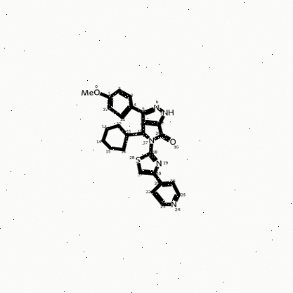 COc1ccc(-c2n[nH]c3c2C(C2CCCCC2)N(c2nc(-c4ccncc4)cs2)C3=O)cc1